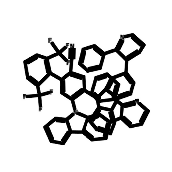 N#Cc1cc(-n2c3ccccc3c3ccc(-c4cccnc4-c4ccccc4)cc32)c(-n2c3ccccc3c3ccc(-c4cccnc4-c4ccccc4)cc32)cc1-c1c(C(F)(F)F)cccc1C(F)(F)F